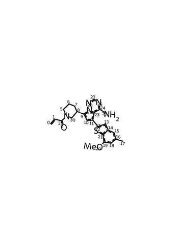 C=CC(=O)N1CCC[C@@H](c2cc(-c3cc4cc(C)cc(OC)c4s3)c3c(N)ncnn23)C1